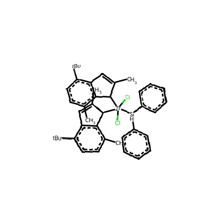 CC1=Cc2c(C(C)(C)C)ccc(C)c2[CH]1[Zr]([Cl])([Cl])([CH]1C(C)=Cc2c(C(C)(C)C)ccc(C)c21)[SiH](c1ccccc1)c1ccccc1